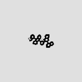 c1ccc2c(-c3cc4ccccc4c4oc5c(-c6c7ccccc7c(-c7cccc8occc78)c7ccccc67)cccc5c34)cccc2c1